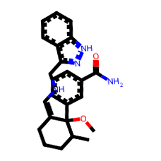 COC1(c2cccc(C(N)=O)c2)/C(=C\NCc2n[nH]c3ccccc23)CCCC1C